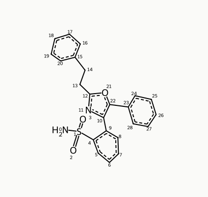 NS(=O)(=O)c1ccccc1-c1nc(CCc2ccccc2)oc1-c1ccccc1